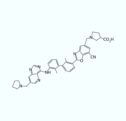 Cc1c(Nc2ncnc3cc(CN4CCCC4)cnc23)cccc1-c1cccc(-c2nc3cc(CN4CCC(C(=O)O)C4)cc(C#N)c3o2)c1C